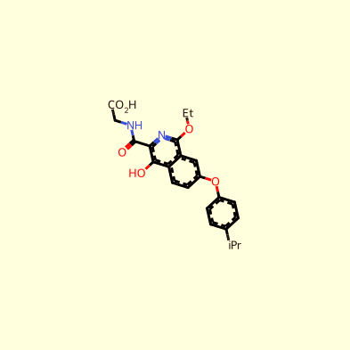 CCOc1nc(C(=O)NCC(=O)O)c(O)c2ccc(Oc3ccc(C(C)C)cc3)cc12